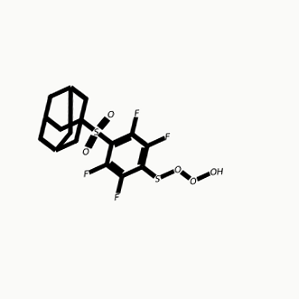 O=S(=O)(c1c(F)c(F)c(SOOO)c(F)c1F)C12CC3CC(CC(C3)C1)C2